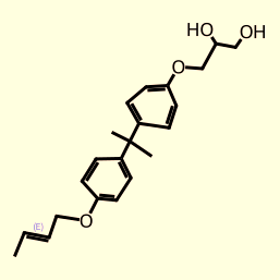 C/C=C/COc1ccc(C(C)(C)c2ccc(OCC(O)CO)cc2)cc1